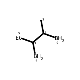 BC(C)C(B)CC